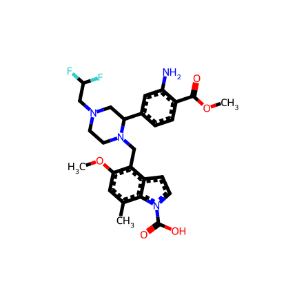 COC(=O)c1ccc(C2CN(CC(F)F)CCN2Cc2c(OC)cc(C)c3c2ccn3C(=O)O)cc1N